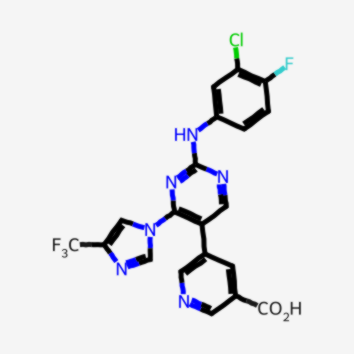 O=C(O)c1cncc(-c2cnc(Nc3ccc(F)c(Cl)c3)nc2-n2cnc(C(F)(F)F)c2)c1